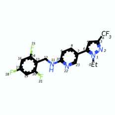 CCn1nc(C(F)(F)F)cc1-c1ccc(NCc2c(F)cc(F)cc2F)nc1